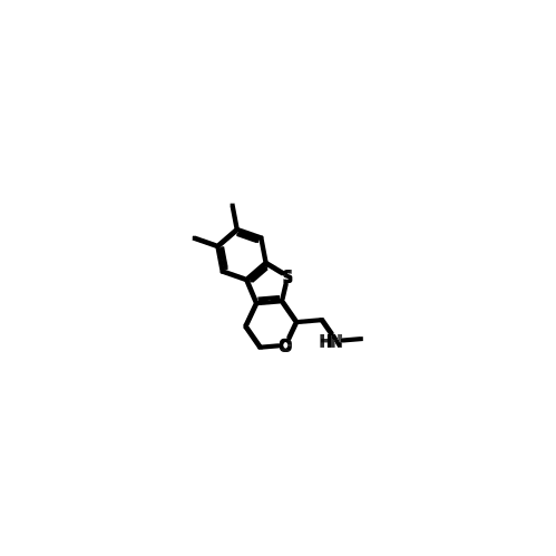 CNCC1OCCc2c1sc1cc(C)c(C)cc21